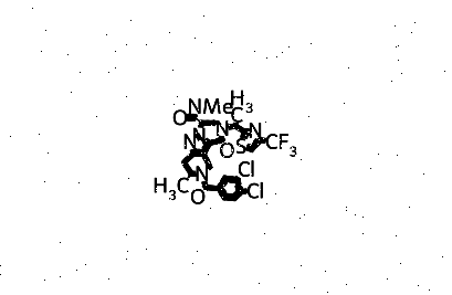 CNC(=O)[C@@H]1CN(C(C)c2nc(C(F)(F)F)cs2)C(=O)c2c3c(nn21)C[C@@H](C)N(C(=O)c1ccc(Cl)c(Cl)c1)C3